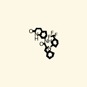 O=C1CCc2ccc(NC(=O)c3cc4ccccc4n3-c3cccc(C(F)(F)F)c3)cc2N1